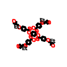 CCC1(COc2ccc(C(=O)Oc3cc(OC(=O)c4ccc(OCC5(CC)COC5)cc4)c(OC(=O)c4ccc(OCC5(CC)COC5)cc4)cc3OC(=O)c3ccc(OCC4(CC)COC4)cc3)cc2)COC1